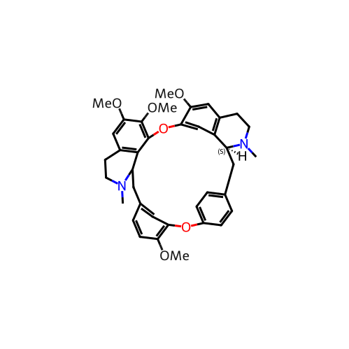 COc1ccc2cc1Oc1ccc(cc1)C[C@H]1c3cc(c(OC)cc3CCN1C)Oc1c(OC)c(OC)cc3c1C(C2)N(C)CC3